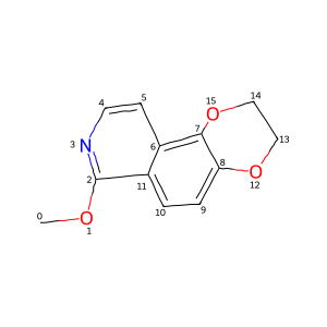 COc1nccc2c3c(ccc12)OCCO3